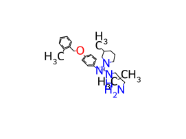 Cc1ccccc1COc1ccc(/N=C(/NCC(C)(C)CN)N2CCCC(C)C2)cc1